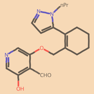 CCCn1nccc1C1=C(COc2cncc(O)c2C=O)CCCC1